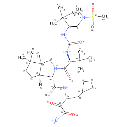 CN(C[C@@H](NC(=O)N[C@H](C(=O)N1C[C@H]2[C@H](CCC2(C)C)[C@H]1C(=O)NC(CC1CCC1)C(=O)C(N)=O)C(C)(C)C)C(C)(C)C)S(C)(=O)=O